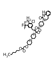 CCCCCCOC(=O)COC1CCN(C2CCN(C(=O)[C@@H](Cc3cc(Cl)c(N)c(C(F)(F)F)c3)OC(=O)N3CCC(N4CCc5ccccc5NC4=O)CC3)CC2)CC1